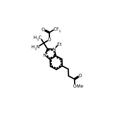 CCn1c(C(C)(N)OC(=O)C(F)(F)F)nc2ccc(CCC(=O)OC)cc21